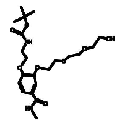 CNC(=O)c1ccc(OCCNC(=O)OC(C)(C)C)c(OCCOCCOCCO)c1